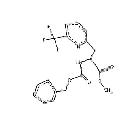 COC(=O)C(Cc1cccc(C(F)(F)F)n1)NC(=O)OCc1ccccc1